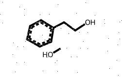 CO.OCCc1ccccc1